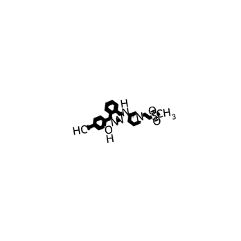 C#Cc1ccc(-c2nnc(N[C@@H]3CCCN(CCS(C)(=O)=O)C3)c3ccccc23)c(O)c1